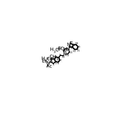 CCN(C(C)=O)C1Cc2ccc(CCN3CCN(c4nsc5ccccc45)CC3)cc2C1(C)C.CS(=O)(=O)O